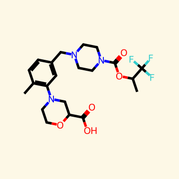 Cc1ccc(CN2CCN(C(=O)OC(C)C(F)(F)F)CC2)cc1N1CCOC(C(=O)O)C1